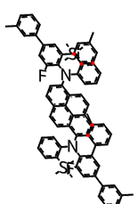 Cc1cccc(-c2cc(F)c(N(c3ccccc3[Si](C)(C)C)c3ccc4ccc5c(N(c6ccccc6[Si](C)(C)C)c6c(F)cc(-c7cccc(C)c7)cc6-c6cccc(C)c6)ccc6ccc3c4c65)c(-c3cccc(C)c3)c2)c1